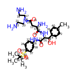 Cc1ccc([C@@H](O)[C@H](NC(=O)[C@@H](N)CC(=O)N(CCN)CCN)C(=O)Nc2ccc(S(=O)(=O)C(C)(C)C)cc2)cc1